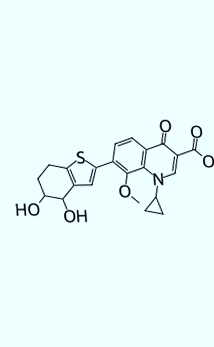 COc1c(-c2cc3c(s2)CCC(O)C3O)ccc2c(=O)c(C(=O)O)cn(C3CC3)c12